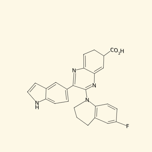 O=C(O)C1C=c2nc(N3CCCc4cc(F)ccc43)c(-c3ccc4[nH]ccc4c3)nc2=CC1